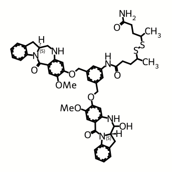 COc1cc2c(cc1OCc1cc(COc3cc4c(cc3OC)C(=O)N3c5ccccc5C[C@H]3C(O)N4)cc(NC(=O)CCC(C)SSC(C)CCC(N)=O)c1)NC[C@@H]1Cc3ccccc3N1C2=O